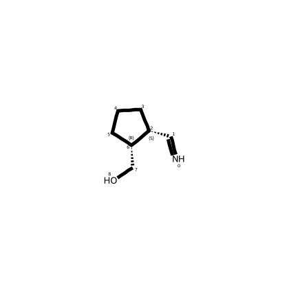 N=C[C@H]1CCC[C@H]1CO